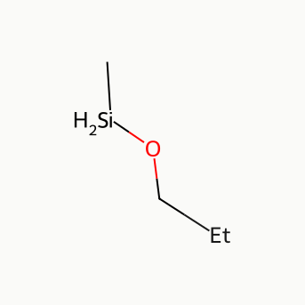 CCCO[SiH2]C